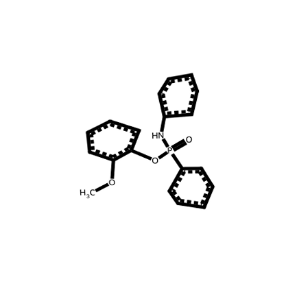 COc1ccccc1OP(=O)(Nc1ccccc1)c1ccccc1